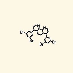 Brc1cc(Br)cc(-c2ccnc3c2ccc2c(-c4cc(Br)cc(Br)c4)ccnc23)c1